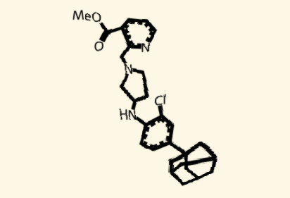 COC(=O)c1cccnc1CN1CCC(Nc2ccc(C34CC5CC(CC(C5)C3)C4)cc2Cl)C1